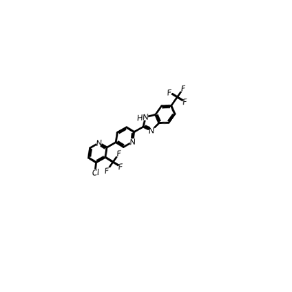 FC(F)(F)c1ccc2nc(-c3ccc(-c4nccc(Cl)c4C(F)(F)F)cn3)[nH]c2c1